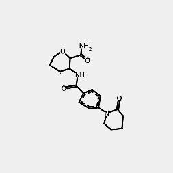 NC(=O)C1OCC[C]C1NC(=O)c1ccc(N2CCCCC2=O)cc1